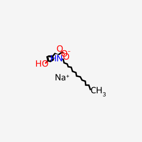 CCCCCCCCCCCCCCC(=O)N[C@@H](Cc1ccc(O)cc1)C(=O)[O-].[Na+]